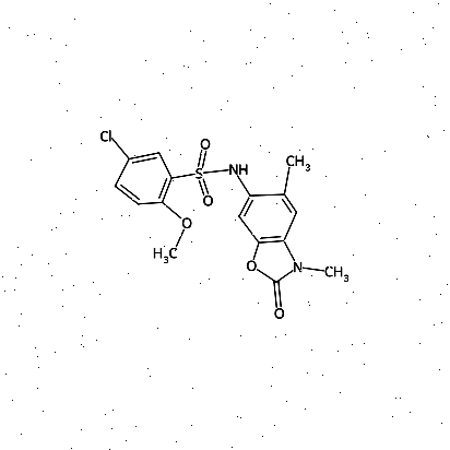 COc1ccc(Cl)cc1S(=O)(=O)Nc1cc2oc(=O)n(C)c2cc1C